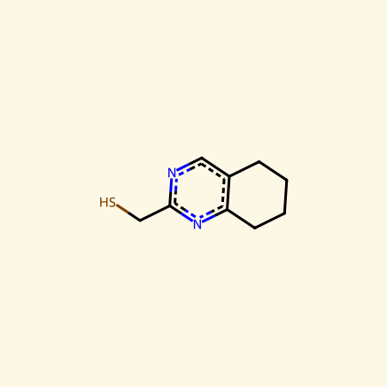 SCc1ncc2c(n1)CCCC2